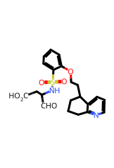 O=CC(CC(=O)O)NS(=O)(=O)c1ccccc1OCCC1CCCc2ncccc21